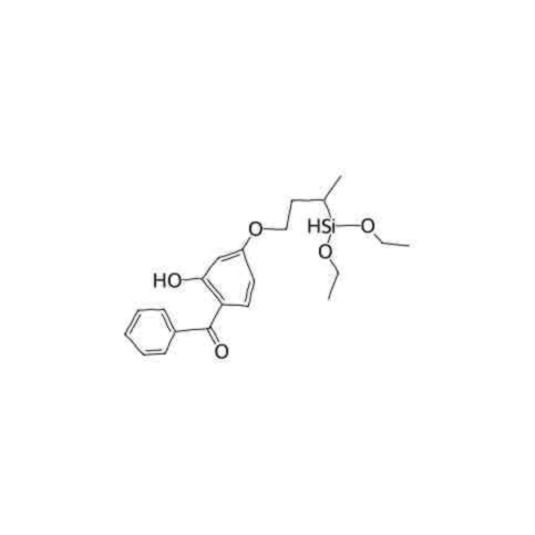 CCO[SiH](OCC)C(C)CCOc1ccc(C(=O)c2ccccc2)c(O)c1